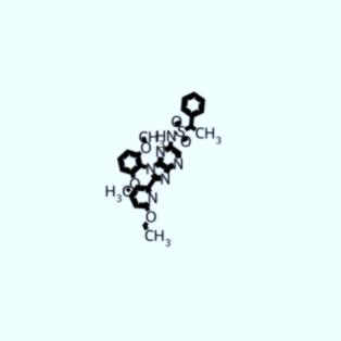 CCOc1cccc(-c2nc3ncc(NS(=O)(=O)C(C)c4ccccc4)nc3n2-c2c(OC)cccc2OC)n1